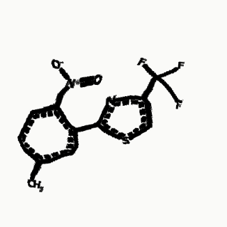 Cc1ccc([N+](=O)[O-])c(-c2nc(C(F)(F)F)cs2)c1